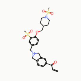 C=CC(=O)c1ccc2c(c1)CN(Cc1ccc(OCC3CCN(S(C)(=O)=O)CC3)c(S(C)(=O)=O)c1)C2